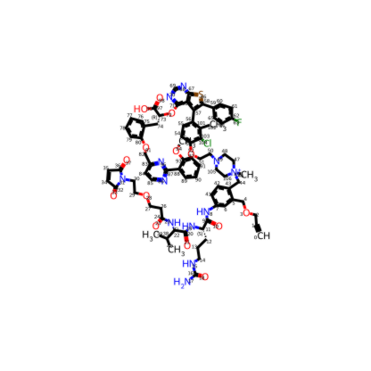 C#CCOCc1cc(NC(=O)[C@H](CCCNC(N)=O)NC(=O)[C@@H](NC(=O)CCOCCN2C(=O)C=CC2=O)C(C)C)ccc1C[N+]1(C)CCN(CCOc2ccc(-c3c(-c4ccc(F)cc4)sc4ncnc(O[C@H](Cc5ccccc5OCc5ccnc(-c6ccccc6OC)n5)C(=O)O)c34)c(C)c2Cl)CC1